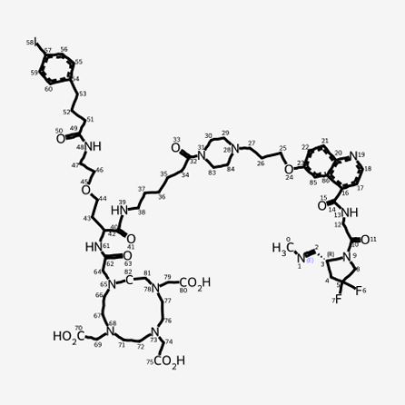 C/N=C/[C@H]1CC(F)(F)CN1C(=O)CNC(=O)c1ccnc2ccc(OCCCN3CCN(C(=O)CCCCCNC(=O)C(CCOCCNC(=O)CCCc4ccc(I)cc4)NC(=O)CN4CCN(CC(=O)O)CCN(CC(=O)O)CCN(CC(=O)O)CC4)CC3)cc12